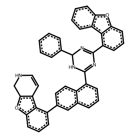 C1=Cc2c(oc3cccc(-c4ccc5c(C6=NC(c7cccc8oc9ccccc9c78)=NC(c7ccccc7)N6)cccc5c4)c23)CN1